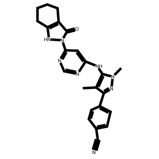 Cc1c(-c2ccc(C#N)cc2)nn(C)c1Nc1cc(-n2[nH]c3c(c2=O)CCCC3)ncn1